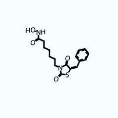 O=C(CCCCCCN1C(=O)SC(=Cc2ccccc2)C1=O)NO